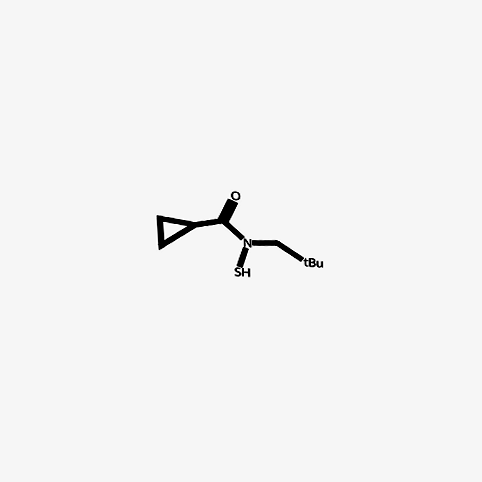 CC(C)(C)CN(S)C(=O)C1CC1